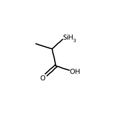 CC([SiH3])C(=O)O